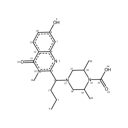 CCCC(c1nc2cc(O)ccc2c(=O)n1C)N1CC(C)N(C(=O)O)C(C)C1